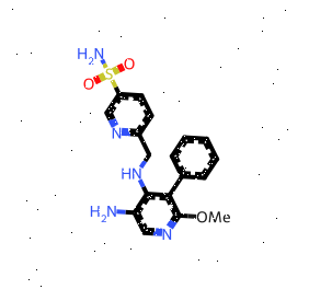 COc1ncc(N)c(NCc2ccc(S(N)(=O)=O)cn2)c1-c1ccccc1